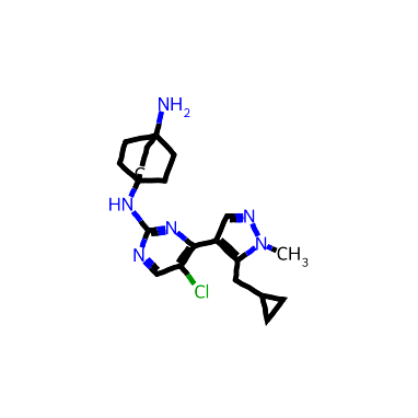 Cn1ncc(-c2nc(NC34CCC(N)(CC3)CC4)ncc2Cl)c1CC1CC1